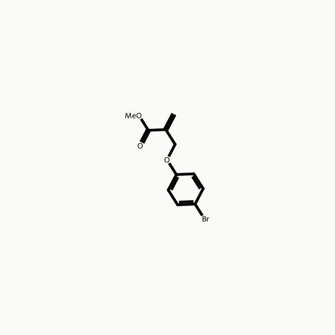 C=C(COc1ccc(Br)cc1)C(=O)OC